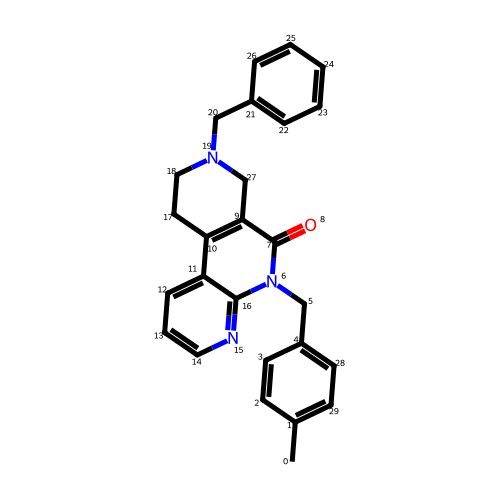 Cc1ccc(Cn2c(=O)c3c(c4cccnc42)CCN(Cc2ccccc2)C3)cc1